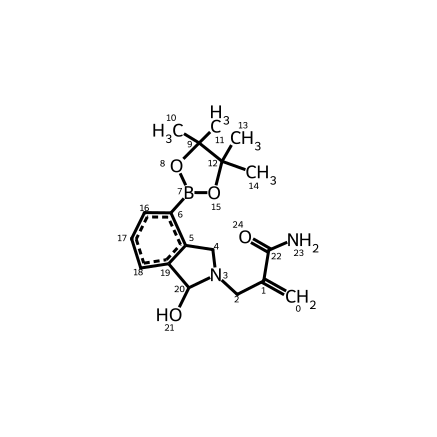 C=C(CN1Cc2c(B3OC(C)(C)C(C)(C)O3)cccc2C1O)C(N)=O